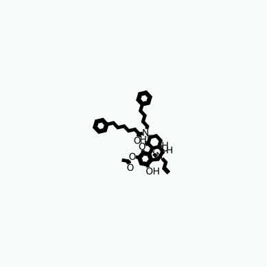 C=CCN1CC[C@]23c4c5c(O)cc(OC(C)=O)c4O[C@H]2[C@H](N(CCCCc2ccccc2)C(=O)CCCCCc2ccccc2)CC[C@H]3[C@H]1C5